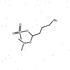 C[SiH](C)OC(CCCC(C)(C)C)OS(C)(=O)=O